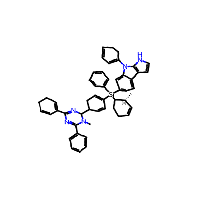 C[C@@H]1C=CCCC1[Si](C1=CCC(C2N=C(C3=CCCC=C3)N=C(c3ccccc3)N2C)C=C1)(c1ccccc1)c1ccc2c3cc[nH]c3n(C3=CC=CCC3)c2c1